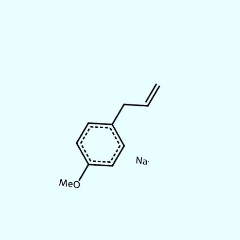 C=CCc1ccc(OC)cc1.[Na]